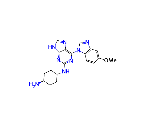 COc1ccc2c(c1)ncn2-c1nc(N[C@H]2CC[C@H](N)CC2)nc2[nH]cnc12